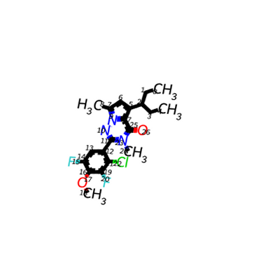 CCC(CC)c1cc(C)n2nc(-c3cc(F)c(OC)c(F)c3Cl)n(C)c(=O)c12